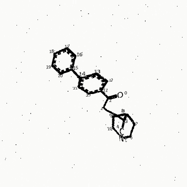 O=C(CC1CN2CCC1CC2)c1ccc(-c2ccccc2)cc1